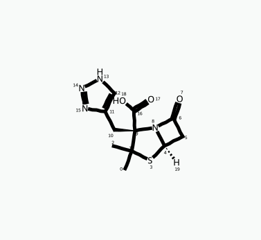 CC1(C)S[C@@H]2CC(=O)N2[C@@]1(Cc1c[nH]nn1)C(=O)O